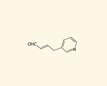 O=CC=CCc1cccnc1